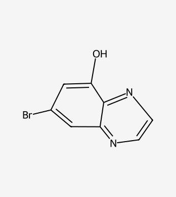 Oc1cc(Br)cc2nccnc12